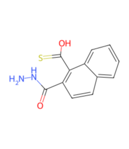 NNC(=O)c1ccc2ccccc2c1C(O)=S